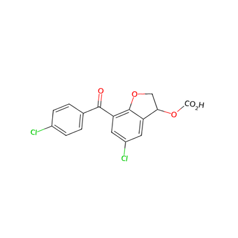 O=C(O)OC1COc2c(C(=O)c3ccc(Cl)cc3)cc(Cl)cc21